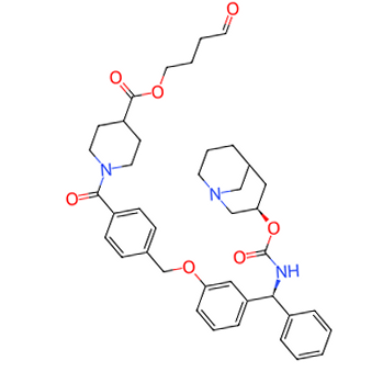 O=CCCCOC(=O)C1CCN(C(=O)c2ccc(COc3cccc([C@@H](NC(=O)O[C@@H]4CC5CCCN(C5)C4)c4ccccc4)c3)cc2)CC1